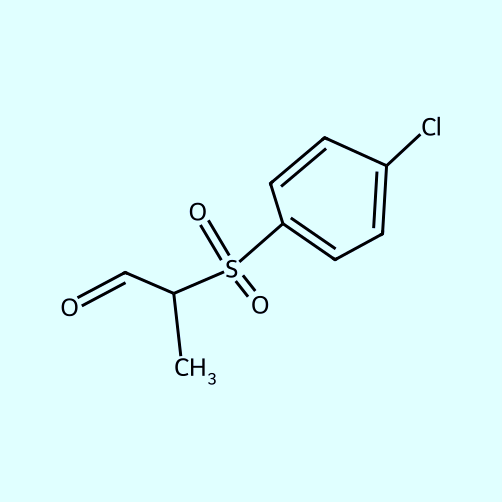 CC(C=O)S(=O)(=O)c1ccc(Cl)cc1